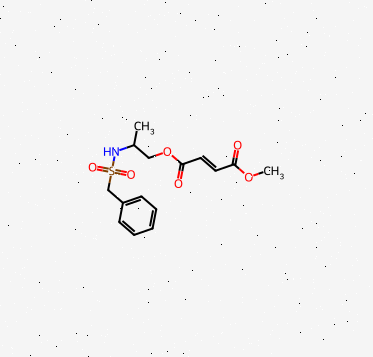 COC(=O)/C=C/C(=O)OCC(C)NS(=O)(=O)Cc1ccccc1